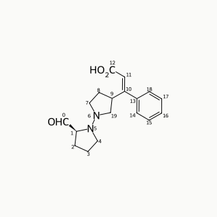 O=C[C@@H]1CCCN1N1CCC(C(=CC(=O)O)c2ccccc2)C1